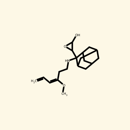 C=C/C=C(\CCNC1(C2OC2O)C2CC3CC(C2)CC1C3)OC